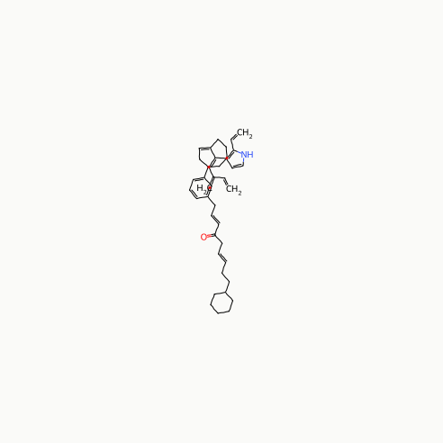 C=CC(=C)/C=C(/C1=C\CC(c2cccc(C/C=C/C(=O)C/C=C/CCC3CCCCC3)c2)CCCC1)c1cc[nH]c1C=C